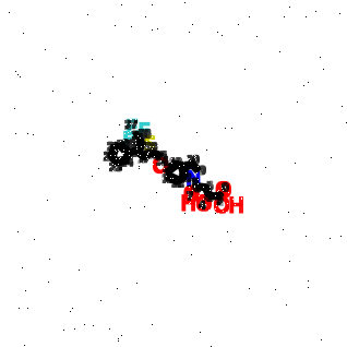 O=C(O)C(O)CC(=O)N1CCc2cc(OCc3cc(-c4ccccc4)c(C(F)(F)F)s3)ccc21